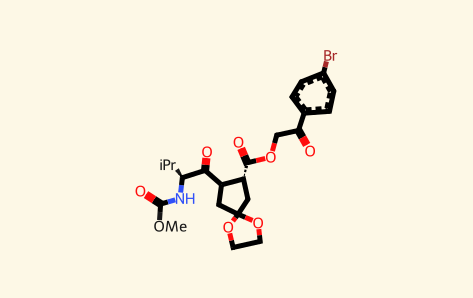 COC(=O)N[C@H](C(=O)C1CC2(C[C@H]1C(=O)OCC(=O)c1ccc(Br)cc1)OCCO2)C(C)C